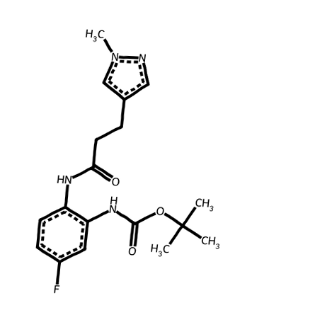 Cn1cc(CCC(=O)Nc2ccc(F)cc2NC(=O)OC(C)(C)C)cn1